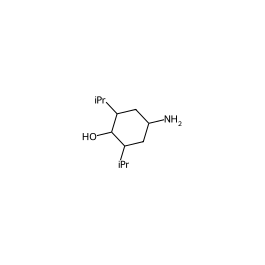 CC(C)C1CC(N)CC(C(C)C)C1O